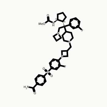 COC(=O)N[C@H]1CCC[C@@H]1C(CN1CCC1)(c1cccc(F)c1)C1CCN(CC2CN(c3ccc(S(=O)(=O)c4ccc(C(N)=O)cc4)cc3F)C2)CC1